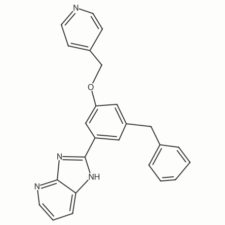 c1ccc(Cc2cc(OCc3ccncc3)cc(-c3nc4ncccc4[nH]3)c2)cc1